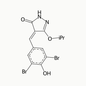 CC(C)OC1=NNC(=O)C1=Cc1cc(Br)c(O)c(Br)c1